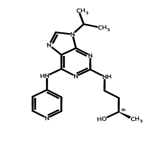 CC(C)n1cnc2c(Nc3ccncc3)nc(NCC[C@@H](C)O)nc21